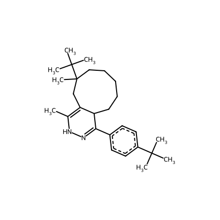 CC1=C2CC(C)(C(C)(C)C)CCCCCC2C(c2ccc(C(C)(C)C)cc2)=NN1